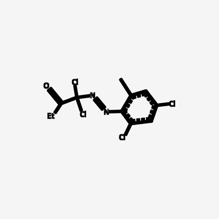 CCC(=O)C(Cl)(Cl)N=Nc1c(C)cc(Cl)cc1Cl